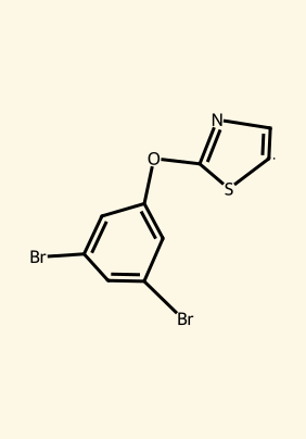 Brc1cc(Br)cc(Oc2nc[c]s2)c1